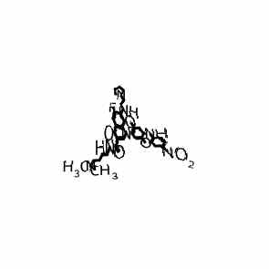 CN(C)CCCCNC(=O)c1cn2c3cc4oc5cc([N+](=O)[O-])ccc5[nH]c4cc3oc3c(NCCN4CCCC4)c(F)cc(c1=O)c32